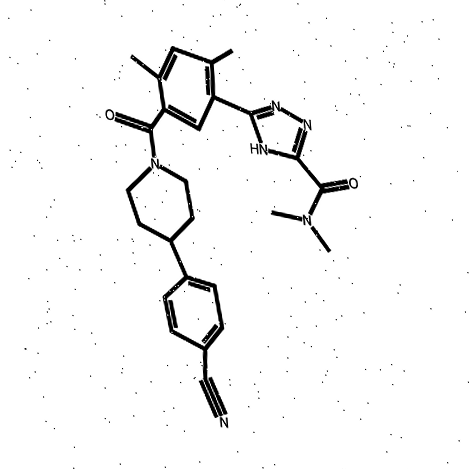 Cc1cc(C)c(-c2nnc(C(=O)N(C)C)[nH]2)cc1C(=O)N1CCC(c2ccc(C#N)cc2)CC1